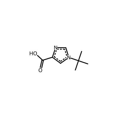 CC(C)(C)n1cnc(C(=O)O)c1